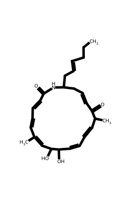 CCC/C=C/CC1C/C=C/C(=O)C(C)/C=C/C=C\C(O)C(O)\C=C(C)/C=C/C=C/C(=O)N1